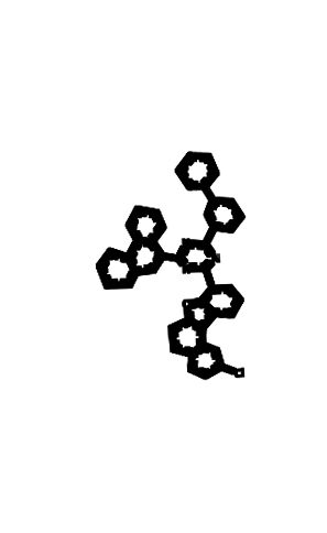 Clc1ccc2ccc3oc4c(-c5nc(-c6cccc(-c7ccccc7)c6)nc(-c6cc7ccccc7c7ccccc67)n5)cccc4c3c2c1